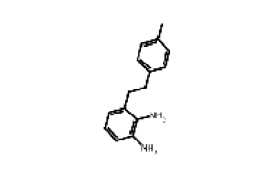 Cc1ccc(CCc2cccc(N)c2N)cc1